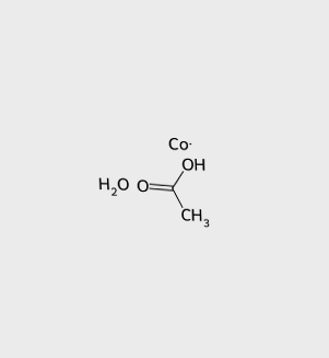 CC(=O)O.O.[Co]